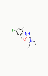 CCCN(CC)CC(=O)Nc1c(C)cc(F)cc1C